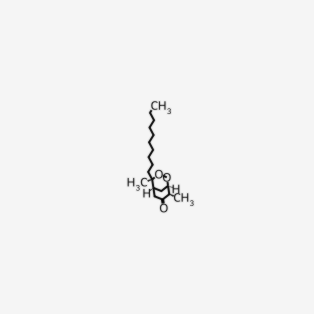 CCCCCCCCCC[C@]1(C)OO[C@@H]2C[C@H]1CC(=O)[C@@H]2C